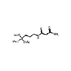 CO[Si](CCCNC(=O)CC(N)=O)(OC)OC